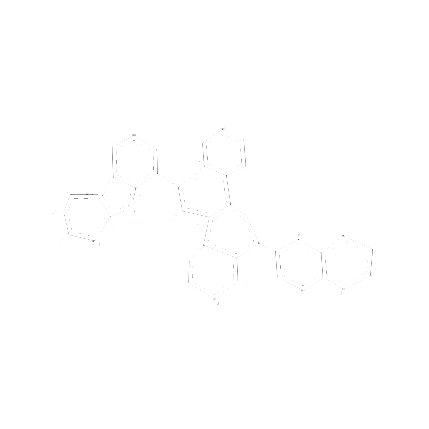 c1ccc2cc(-c3cc4c5ccccc5c(-c5cccc6c5sc5ccccc56)cc4c4ccccc34)ccc2c1